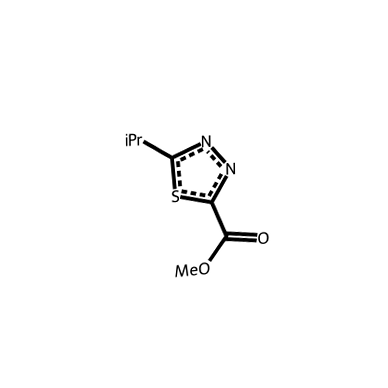 COC(=O)c1nnc(C(C)C)s1